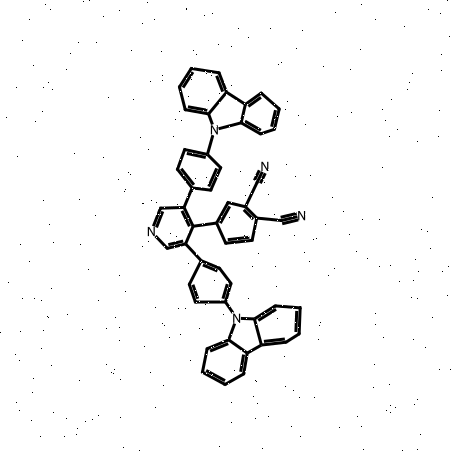 N#Cc1ccc(-c2c(-c3ccc(-n4c5ccccc5c5ccccc54)cc3)cncc2-c2ccc(-n3c4ccccc4c4ccccc43)cc2)cc1C#N